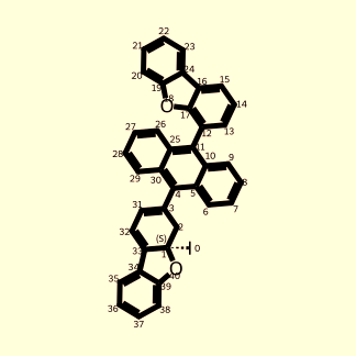 I[C@@]12CC(c3c4ccccc4c(-c4cccc5c4oc4ccccc45)c4ccccc34)=CC=C1c1ccccc1O2